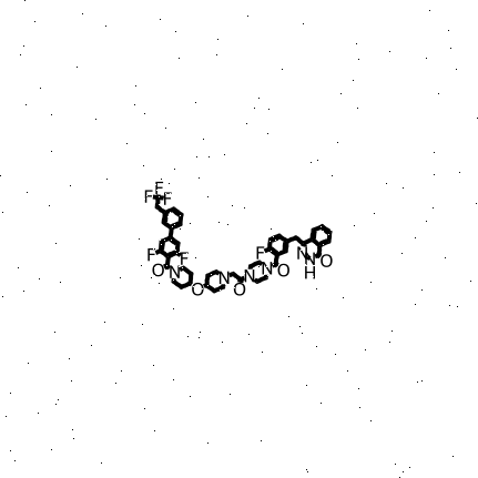 O=C(CN1CCC(OC2CCN(C(=O)c3c(F)cc(-c4cccc(CC(F)(F)F)c4)cc3F)CC2)CC1)N1CCN(C(=O)c2cc(Cc3n[nH]c(=O)c4ccccc34)ccc2F)CC1